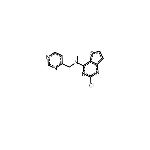 Clc1nc(NCc2ccncn2)c2sccc2n1